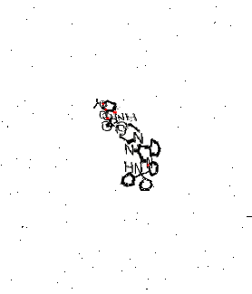 CCOCc1nc2c(NC(c3ccccc3)(c3ccccc3)c3ccccc3)nc3ccccc3c2n1C[C@@H](C)O[P@@](=O)(N[C@@H](C)C(=O)OC(C)C)Oc1ccccc1